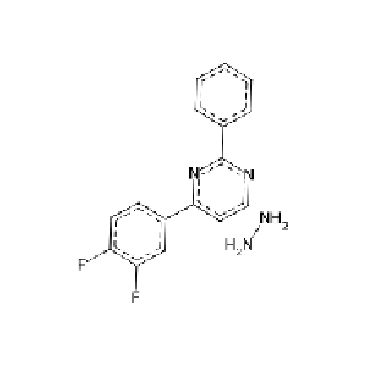 Fc1ccc(-c2ccnc(-c3ccccc3)n2)cc1F.NN